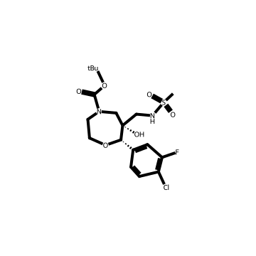 CC(C)(C)OC(=O)N1CCO[C@@H](c2ccc(Cl)c(F)c2)[C@](O)(CNS(C)(=O)=O)C1